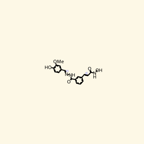 COc1cc(/C=N/NC(=O)c2cccc(/C=C/C(=O)NO)c2)ccc1O